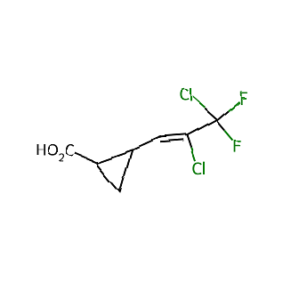 O=C(O)C1CC1C=C(Cl)C(F)(F)Cl